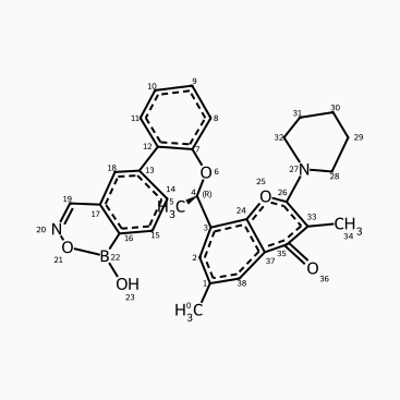 Cc1cc([C@@H](C)Oc2ccccc2-c2ccc3c(c2)C=NOB3O)c2oc(N3CCCCC3)c(C)c(=O)c2c1